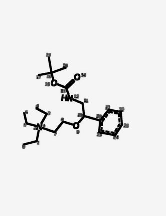 CC[N+](CC)(CC)CCOC(CNC(=O)OC(C)(C)C)c1ccccc1